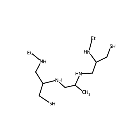 CCNCC(CS)NCC(C)NCC(CS)NCC